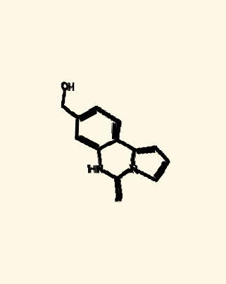 C=C1Nc2cc(CO)ccc2-c2cccn21